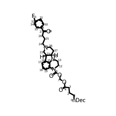 CCCCCCCCCCCCCC(=O)OCOC(=O)N1CCN2c3c(cccc31)[C@@H]1CN(CCCC(=O)c3ccc(F)cc3)CC[C@@H]12